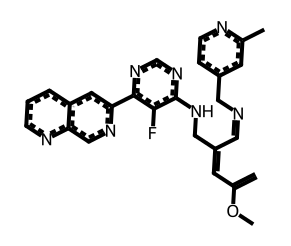 C=C(/C=C(\C=N/Cc1ccnc(C)c1)CNc1ncnc(-c2cc3cccnc3cn2)c1F)OC